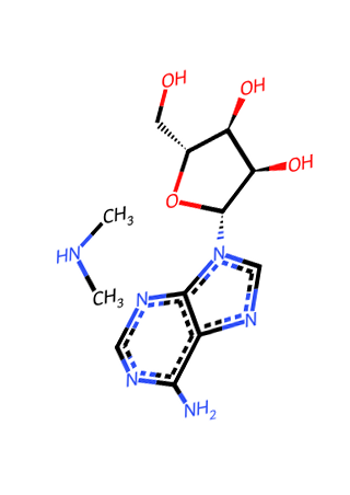 CNC.Nc1ncnc2c1ncn2[C@@H]1O[C@H](CO)[C@@H](O)[C@H]1O